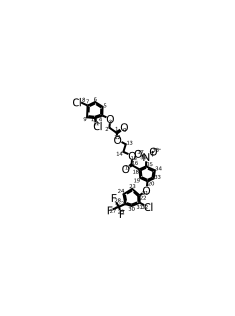 O=C(COc1ccc(Cl)cc1Cl)OCCOC(=O)c1cc(Oc2ccc(C(F)(F)F)cc2Cl)ccc1[N+](=O)[O-]